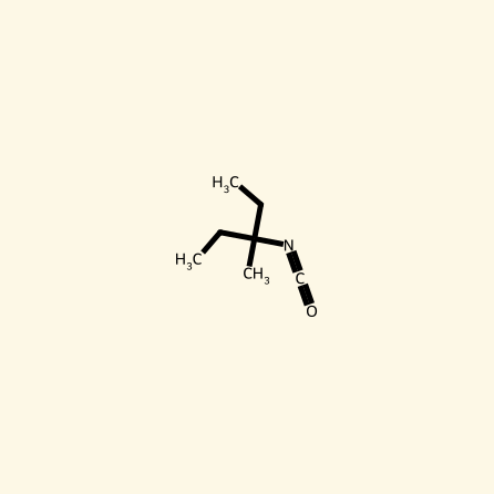 CCC(C)(CC)N=C=O